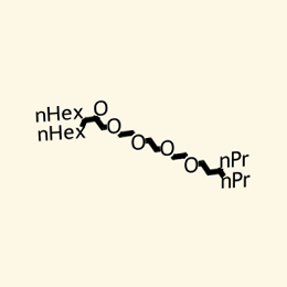 CCCCCCC(CCCCCC)C(=O)COCCOCCOCCOCCC(CCC)CCC